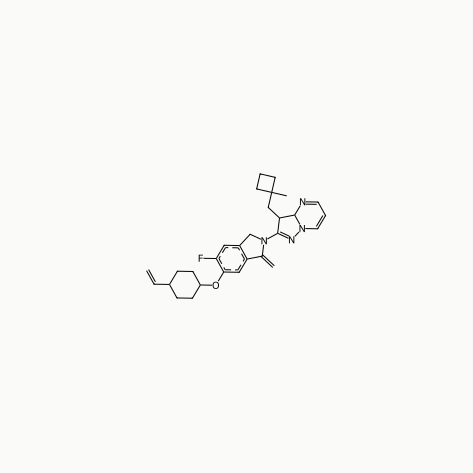 C=CC1CCC(Oc2cc3c(cc2F)CN(C2=NN4C=CC=NC4C2CC2(C)CCC2)C3=C)CC1